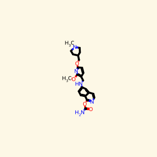 COc1nc(OCC2CCN(C)CC2)ccc1CNc1ccc2c(OC(N)=O)nccc2c1